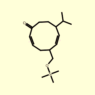 CC(C)C1/C=C\C(CO[Si](C)(C)C)C/C=C\C(=O)CC1